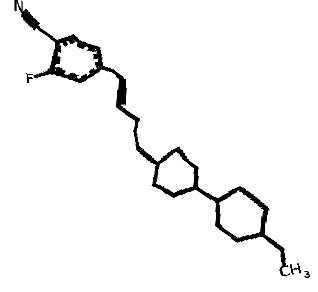 CCC1CCC(C2CCC(CCC=Cc3ccc(C#N)c(F)c3)CC2)CC1